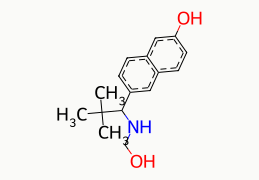 CC(C)(C)C(NCO)c1ccc2cc(O)ccc2c1